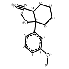 COc1cccc(C2(OC)CCCCC2C#N)c1